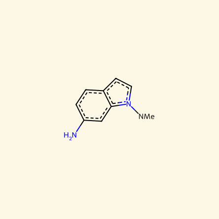 CNn1ccc2ccc(N)cc21